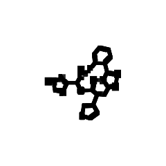 CC(Oc1nn2c(-c3ccccc3F)nnc2cc1-c1ccsc1)c1nc[nH]n1